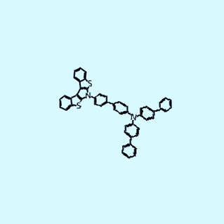 c1ccc(-c2ccc(N(c3ccc(-c4ccccc4)cc3)c3ccc(-c4ccc(-n5c6sc7ccccc7c6c6c7ccccc7sc65)cc4)cc3)cc2)cc1